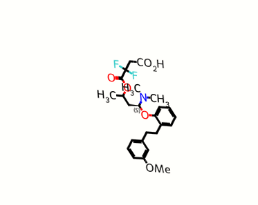 COc1cccc(CCc2ccccc2O[C@@H](CC(C)OC(=O)C(F)(F)CC(=O)O)N(C)C)c1